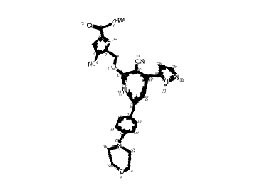 COC(=O)c1cc(C#N)c(COc2nc(-c3ccc(N4CCOCC4)cc3)cc(-c3ccno3)c2C#N)s1